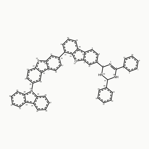 c1ccc(C2=NC(c3ccc4c(c3)oc3c(-c5ccc6c(c5)sc5ccc(-n7c8ccccc8c8ccccc87)cc56)cccc34)NC(c3ccccc3)N2)cc1